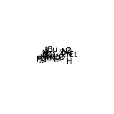 CCNC(=O)c1cc(Oc2ccc(NC(=O)Nc3cc(C(C)(C)C)nn3-c3cccc(F)c3)cc2)ccn1